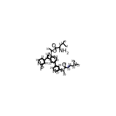 CC(C)CC(N)C(=O)OC(C)n1cc(-c2ccnc(F)c2)c2cc(-c3cncc(N(C)C(=O)/C=C/CN(C)C)c3)cnc21